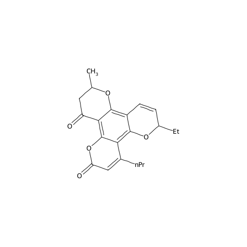 CCCc1cc(=O)oc2c3c(c4c(c12)OC(CC)C=C4)OC(C)CC3=O